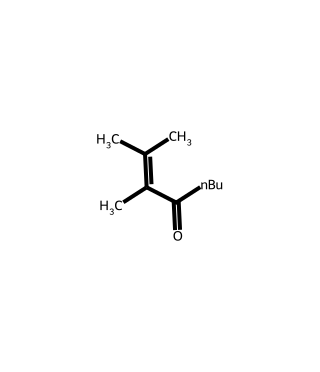 CCCCC(=O)C(C)=C(C)C